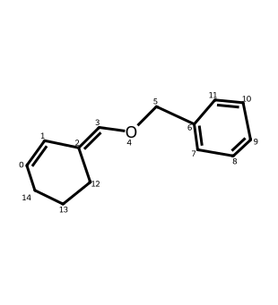 C1=CC(=COCc2ccccc2)CCC1